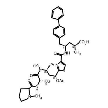 CCCN(C(=O)C(NC(=O)C1CCCCN1C)[C@@H](C)CC)[C@H](C[C@@H](OC(C)=O)c1nc(C(=O)N[C@@H](Cc2ccc(-c3ccccc3)cc2)C[C@H](C)C(=O)O)cs1)C(C)C